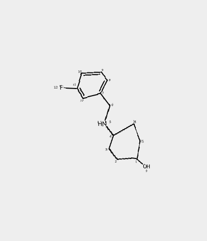 OC1CCC(NCc2cccc(F)c2)CC1